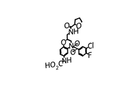 O=C(O)Nc1ccc2c(c1)N(S(=O)(=O)c1ccc(F)c(Cl)c1)CC(CNC(=O)C1CCCO1)O2